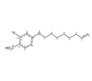 C=CCCCCCCOc1ccc(C(=O)O)c(F)c1